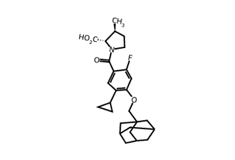 C[C@H]1CCN(C(=O)c2cc(C3CC3)c(OCC34CC5CC(CC(C5)C3)C4)cc2F)[C@@H]1C(=O)O